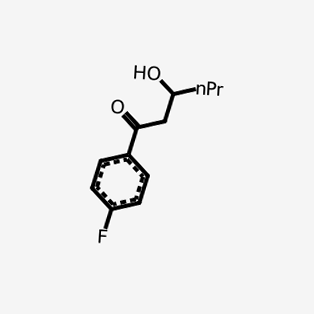 C[CH]CC(O)CC(=O)c1ccc(F)cc1